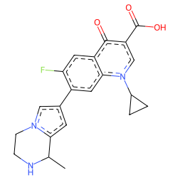 CC1NCCn2cc(-c3cc4c(cc3F)c(=O)c(C(=O)O)cn4C3CC3)cc21